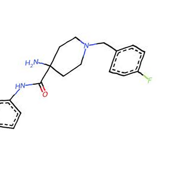 CC(C)c1ccc(NC(=O)C2(N)CCN(Cc3ccc(F)cc3)CC2)cc1